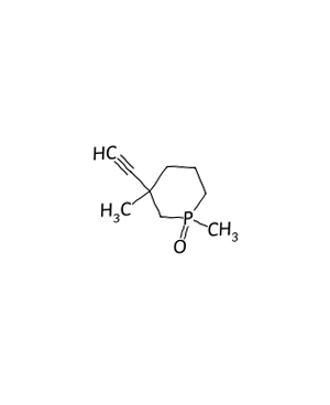 C#CC1(C)CCCP(C)(=O)C1